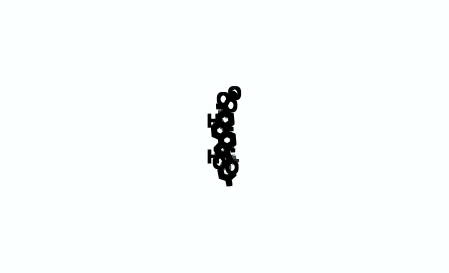 CC1CC[C@@]2(OC1)O[C@H]1CC3C4CC[C@@H]5C[C@@H](C6(C)OC(=O)O6)CC[C@]5(C)C4CC[C@]3(C)C1[C@@H]2C